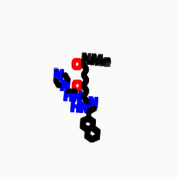 CNC(=O)CCCCCC(NC(=O)CN1CCN(C)CC1)c1ncc(-c2ccc3ccccc3c2)[nH]1